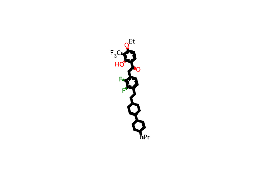 CCCC1CCC(C2CCC(CCc3ccc(CC(=O)c4ccc(OCC)c(C(F)(F)F)c4O)c(F)c3F)CC2)CC1